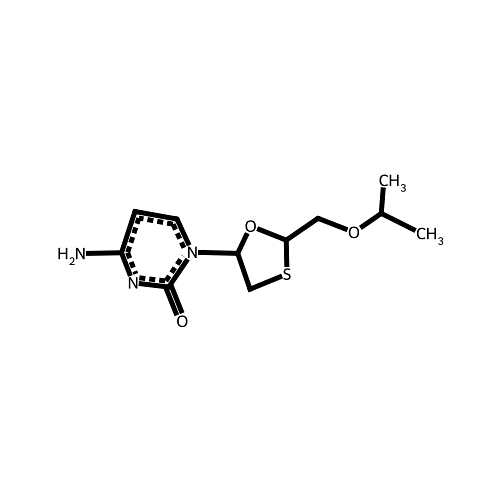 CC(C)OCC1OC(n2ccc(N)nc2=O)CS1